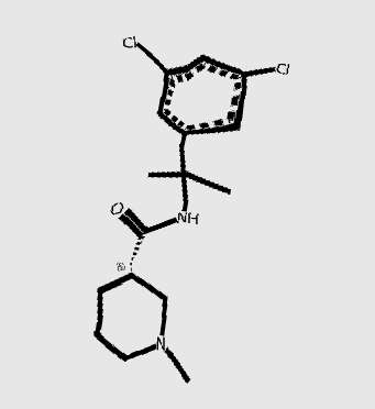 CN1CCC[C@H](C(=O)NC(C)(C)c2cc(Cl)cc(Cl)c2)C1